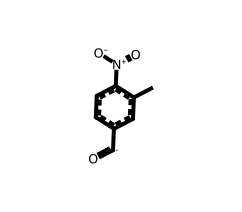 Cc1cc([C]=O)ccc1[N+](=O)[O-]